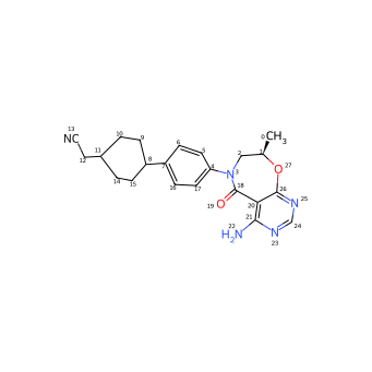 C[C@@H]1CN(c2ccc(C3CCC(CC#N)CC3)cc2)C(=O)c2c(N)ncnc2O1